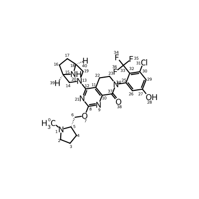 CN1CCC[C@H]1COc1nc2c(c(N3C[C@H]4CC[C@@H](C3)N4)n1)CCN(c1cc(O)cc(Cl)c1C(F)(F)F)C2=O